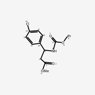 COC(=O)CC(NC(=O)OC(C)C)c1ccc(Cl)cc1